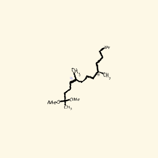 COC(C)(CC/C=C(/C)CCC[C@H](C)CCCC(C)C)OC